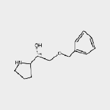 O[C@H](COCc1ccccc1)C1CCCN1